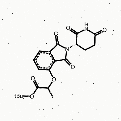 CC(Oc1cccc2c1C(=O)N([C@H]1CCC(=O)NC1=O)C2=O)C(=O)OC(C)(C)C